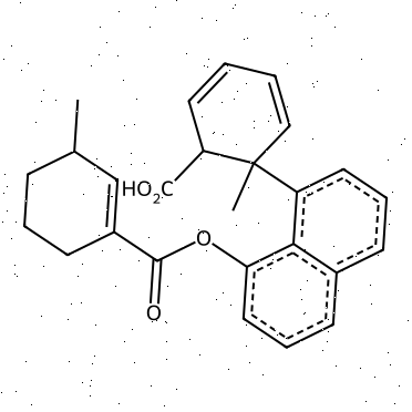 CC1C=C(C(=O)Oc2cccc3cccc(C4(C)C=CC=CC4C(=O)O)c23)CCC1